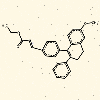 CCOC(=O)/C=C/c1ccc(C2=C(c3ccccc3)CCc3cc(OC)ccc32)cc1